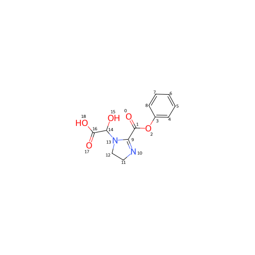 O=C(Oc1ccccc1)C1=NCCN1C(O)C(=O)O